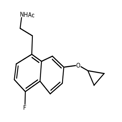 CC(=O)NCCc1ccc(F)c2ccc(OC3CC3)cc12